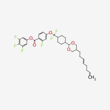 C=CCC/C=C/CCC1COC(C2CCC(C(F)(F)Oc3ccc(C(=O)Oc4cc(F)c(F)c(F)c4)c(F)c3)CC2)OC1